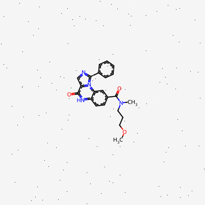 COCCCN(C)C(=O)c1ccc2[nH]c(=O)c3cnc(-c4ccccc4)n3c2c1